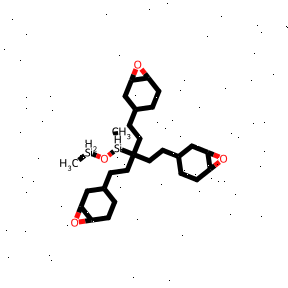 C[SiH2]O[SiH](C)C(CCC1CCC2OC2C1)(CCC1CCC2OC2C1)CCC1CCC2OC2C1